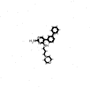 Nc1ncc(-c2cccc(-c3ccccc3)c2)c(NCCCN2CCOCC2)n1